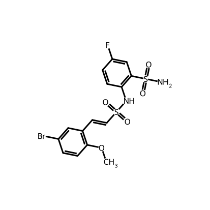 COc1ccc(Br)cc1/C=C/S(=O)(=O)Nc1ccc(F)cc1S(N)(=O)=O